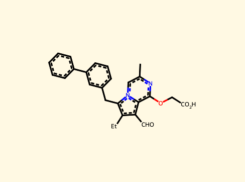 CCc1c(C=O)c2c(OCC(=O)O)nc(C)cn2c1Cc1cccc(-c2ccccc2)c1